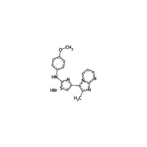 Br.COc1ccc(Nc2nc(-c3c(C)nc4ncccn34)cs2)cc1